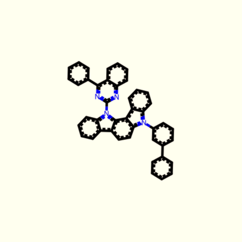 c1ccc(-c2cccc(-n3c4ccccc4c4c3ccc3c5ccccc5n(-c5nc(-c6ccccc6)c6ccccc6n5)c34)c2)cc1